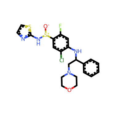 [O-][S+](Nc1nccs1)c1cc(Cl)c(NC(CN2CCOCC2)c2ccccc2)cc1F